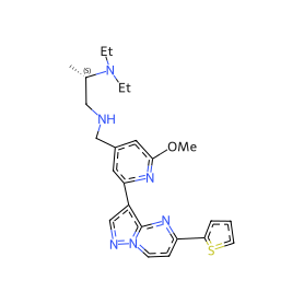 CCN(CC)[C@@H](C)CNCc1cc(OC)nc(-c2cnn3ccc(-c4cccs4)nc23)c1